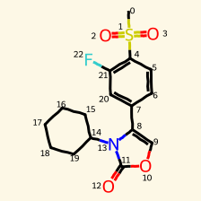 CS(=O)(=O)c1ccc(-c2coc(=O)n2C2CCCCC2)cc1F